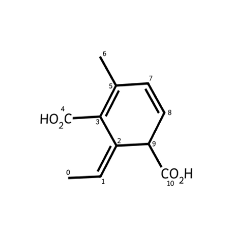 CC=C1C(C(=O)O)=C(C)C=CC1C(=O)O